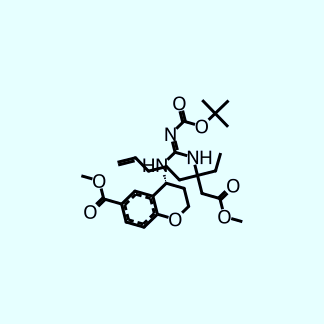 C=CCCCC(CC)(CC(=O)OC)N/C(=N\C(=O)OC(C)(C)C)N[C@@H]1CCOc2ccc(C(=O)OC)cc21